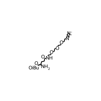 CC(C)COC(=O)[C@@H](N)CCC(=O)NCCOCCOCCOCCN=[N+]=[N-]